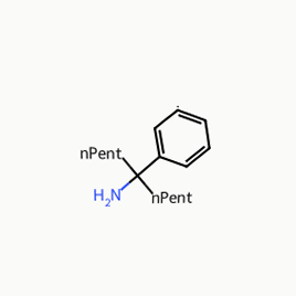 CCCCCC(N)(CCCCC)c1c[c]ccc1